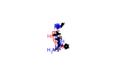 C#CCn1nnnc1SCC1=C(C(=O)O)N2C(=O)C(NC(=O)C(=NOC3CCCC3)c3nsc(N)n3)[C@@H]2SC1